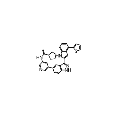 C=C(Nc1cncc(-c2ccc3[nH]nc(-c4cc5c(-c6cccs6)cccc5[nH]4)c3c2)c1)C1CCCC1